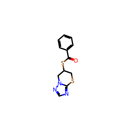 O=C(SC1CSc2ncnn2C1)c1ccccc1